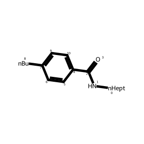 CCCCCCCNC(=O)c1ccc(CCCC)cc1